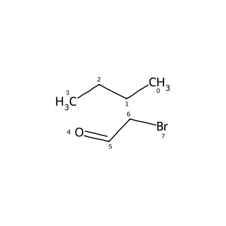 CCCC.O=CCBr